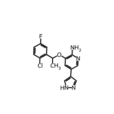 CC(Oc1cc(-c2cn[nH]c2)cnc1N)c1cc(F)ccc1Cl